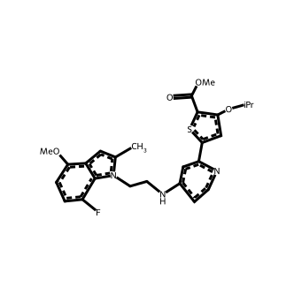 COC(=O)c1sc(-c2cc(NCCn3c(C)cc4c(OC)ccc(F)c43)ccn2)cc1OC(C)C